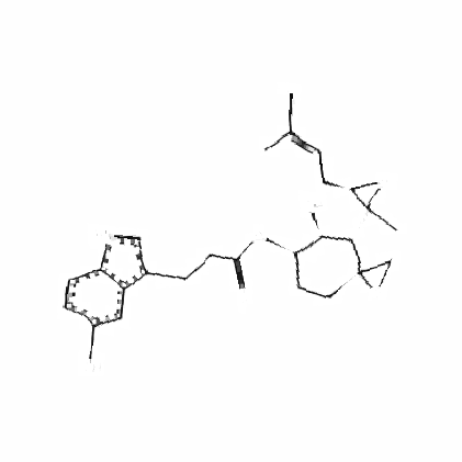 CC(C)=CC[C@H]1OC1(C)[C@H]1[C@H](O)[C@H](OC(=O)CCc2c[nH]c3ccc(O)cc23)CC[C@]12CO2